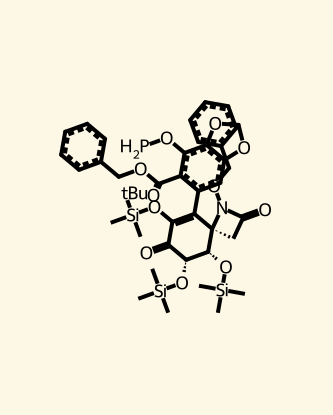 CC(C)(C)[Si](C)(C)OC1=C(c2cc3c(c(OP)c2C(=O)OCc2ccccc2)OCO3)[C@]2(CC(=O)N2OCc2ccccc2)[C@H](O[Si](C)(C)C)[C@H](O[Si](C)(C)C)C1=O